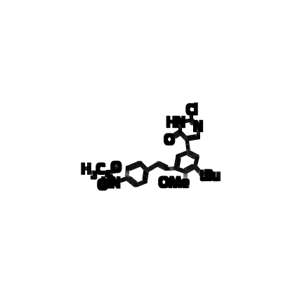 COc1c(C=Cc2ccc(NS(C)(=O)=O)cc2)cc(-c2cnc(Cl)[nH]c2=O)cc1C(C)(C)C